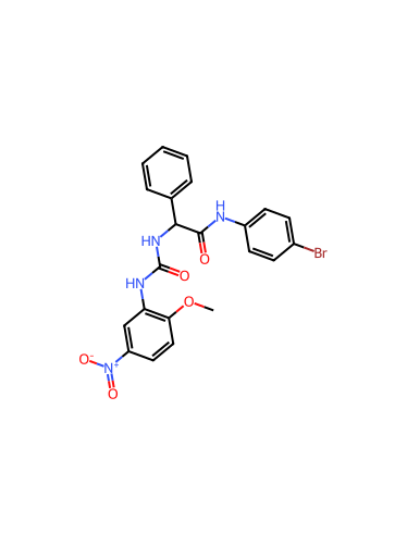 COc1ccc([N+](=O)[O-])cc1NC(=O)NC(C(=O)Nc1ccc(Br)cc1)c1ccccc1